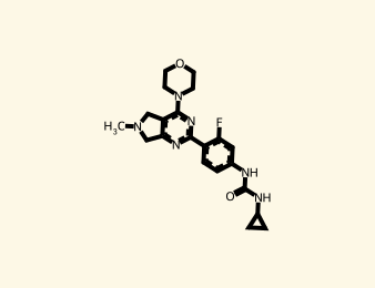 CN1Cc2nc(-c3ccc(NC(=O)NC4CC4)cc3F)nc(N3CCOCC3)c2C1